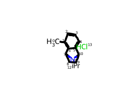 Cc1cccc2c1C1CCC2N1C(C)C.Cl